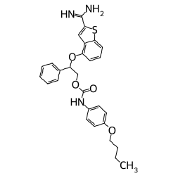 CCCCOc1ccc(NC(=O)OCC(Oc2cccc3sc(C(=N)N)cc23)c2ccccc2)cc1